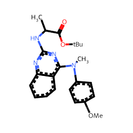 COc1ccc(N(C)c2nc(NC(C)C(=O)OC(C)(C)C)nc3ccccc23)cc1